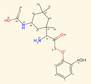 CCCCCCCCc1ccccc1OSC(=O)C(N)C1(C)CC(NC(O)=S)CC(C)(C)C1